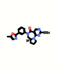 CSc1ncc2c(n1)N1CCC[C@H]1CN(c1cccc(-c3ncc(C)o3)c1)C2=O